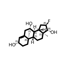 C[C@]12CC[C@H]3[C@@H]([C@@H](O)CC4=C[C@@H](O)CC[C@@]43C)[C@@H]1C[C@@H](F)[C@@H]2O